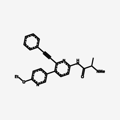 CCOc1ccc(-c2ccc(NC(=O)C(C)NC)nc2C#Cc2ccccc2)cn1